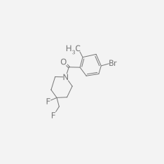 Cc1cc(Br)ccc1C(=O)N1CCC(F)(CF)CC1